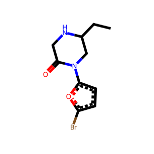 CCC1CN(c2ccc(Br)o2)C(=O)CN1